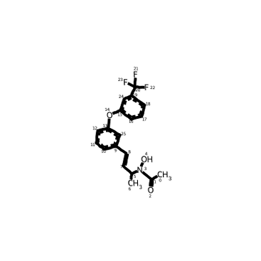 CC(=O)N(O)C(C)/C=C/c1cccc(Oc2cccc(C(F)(F)F)c2)c1